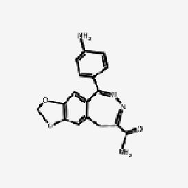 NC(=O)C1=NN=C(c2ccc(N)cc2)c2cc3c(cc2C1)OCO3